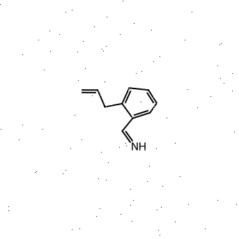 C=CCc1ccccc1C=N